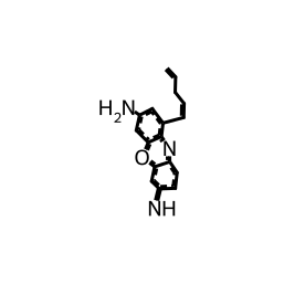 C=CC/C=C\c1cc(N)cc2oc3cc(=N)ccc-3nc12